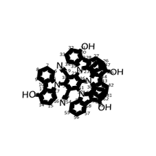 N#Cc1c(-n2c3ccccc3c3c(O)cccc32)c(C#N)c(-n2c3ccccc3c3c(O)cccc32)c(-n2c3ccccc3c3c(O)cccc32)c1-n1c2ccccc2c2c(O)cccc21